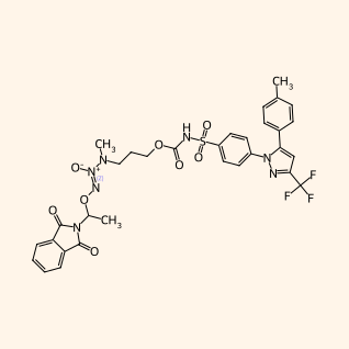 Cc1ccc(-c2cc(C(F)(F)F)nn2-c2ccc(S(=O)(=O)NC(=O)OCCCN(C)/[N+]([O-])=N/OC(C)N3C(=O)c4ccccc4C3=O)cc2)cc1